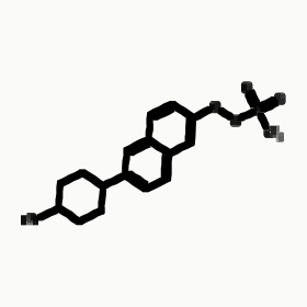 CCCC1CCC(c2ccc3cc(OOS(=O)(=O)C(F)(F)F)ccc3c2)CC1